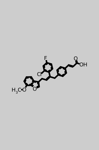 COc1cccc2c(C/C=C(/Cc3ccc(C=CC(=O)O)cc3)c3ccc(F)cc3Cl)coc12